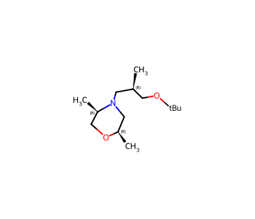 C[C@@H](COC(C)(C)C)CN1C[C@@H](C)OC[C@H]1C